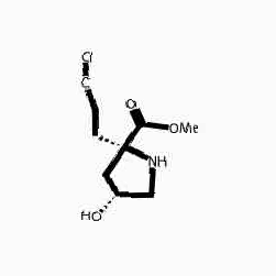 COC(=O)[C@]1(CCCCl)C[C@@H](O)CN1